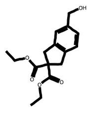 CCOC(=O)C1(C(=O)OCC)Cc2ccc(CO)cc2C1